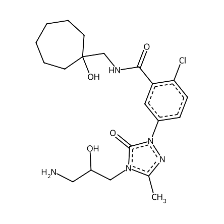 Cc1nn(-c2ccc(Cl)c(C(=O)NCC3(O)CCCCCC3)c2)c(=O)n1CC(O)CN